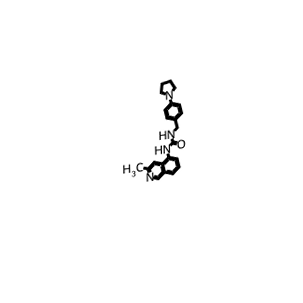 Cc1cc2c(NC(=O)NCc3ccc(N4CCCC4)cc3)cccc2cn1